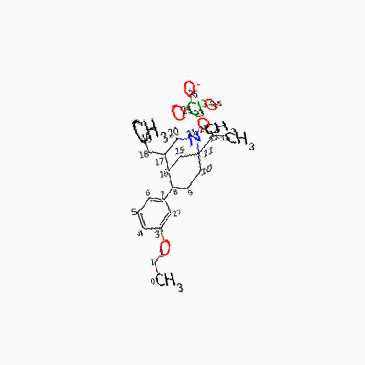 CCOc1cccc(C2CCC3(C(C)C)CC2C(CC)CN3O[Cl+3]([O-])([O-])[O-])c1